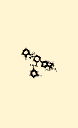 CC(O)(c1ccc(N2CCN(S(=O)(=O)C3=CC=CCC3=S)C[C@@H]2C[S@@+]([O-])c2cccc(F)c2)cc1)C(F)(F)F